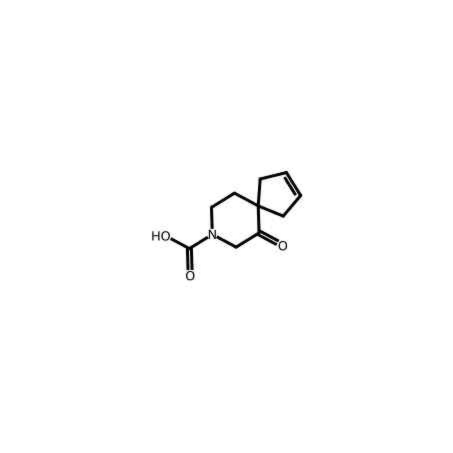 O=C(O)N1CCC2(CC=CC2)C(=O)C1